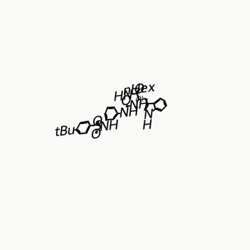 CCCCCCNC(=O)[C@@H](Cc1c[nH]c2ccccc12)NC(=O)Nc1cccc(NS(=O)(=O)c2ccc(C(C)(C)C)cc2)c1